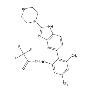 Cc1cc(C(F)(F)F)cc(O)c1-c1ccc2[nH]c(N3CCNCC3)nc2n1.O=C(O)C(F)(F)F